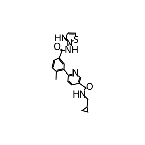 Cc1ccc(C(=O)NN2NC=CS2)cc1-c1ccc(C(=O)NCC2CC2)cn1